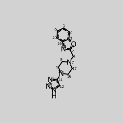 c1ccc2oc(CN3CCN(c4c[nH]nn4)CC3)nc2c1